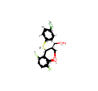 OC[C@H]1COc2c(F)ccc(F)c2[C@@H]1Sc1ccc(Cl)cc1